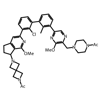 COc1nc(-c2cccc(-c3cccc(-c4cc5c(c(OC)n4)C(N4CC6(CN(C(C)=O)C6)C4)CC5)c3Cl)c2C)cnc1CN1CCN(C(C)=O)CC1